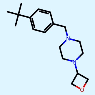 CC(C)(C)c1ccc(CN2CCN(C3COC3)CC2)cc1